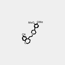 COc1ccc(C2CCN(CCC3CCCOc4ccc(C#N)cc43)CC2)cc1OC